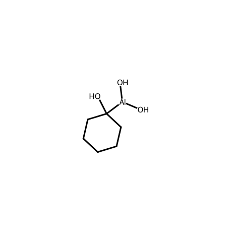 [OH][Al]([OH])[C]1(O)CCCCC1